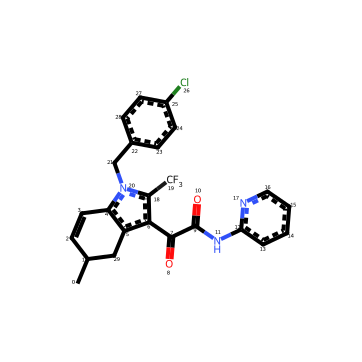 CC1C=Cc2c(c(C(=O)C(=O)Nc3ccccn3)c(C(F)(F)F)n2Cc2ccc(Cl)cc2)C1